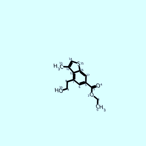 CCOC(=O)c1cc(CCO)c2c(C)csc2c1